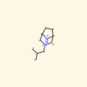 CC(C)CN1CC2CCC(C1)N2